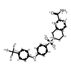 NC(=O)c1n[c]c2c(n1)CN(S(=O)(=O)c1ccc(Oc3ccc(C(F)(F)F)cc3)cc1)CC2